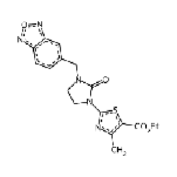 CCOC(=O)c1sc(N2CCN(Cc3ccc4nonc4c3)C2=O)nc1C